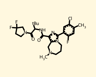 Cc1cc(F)c(-c2nc(C(=O)NC(C(=O)N3CCC(F)(F)C3)C(C)(C)C)c3n2CCCN(C)C3)cc1Cl